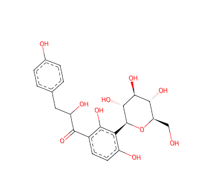 O=C(c1ccc(O)c([C@@H]2O[C@H](CO)[C@@H](O)[C@H](O)[C@H]2O)c1O)C(O)Cc1ccc(O)cc1